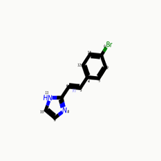 Brc1ccc(/C=C/c2ncc[nH]2)cc1